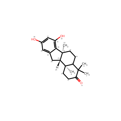 CC1(C)C(=O)CC[C@]2(C)C1CC[C@]1(C)c3c(O)cc(O)cc3C[C@H]12